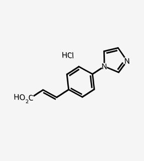 Cl.O=C(O)/C=C/c1ccc(-n2ccnc2)cc1